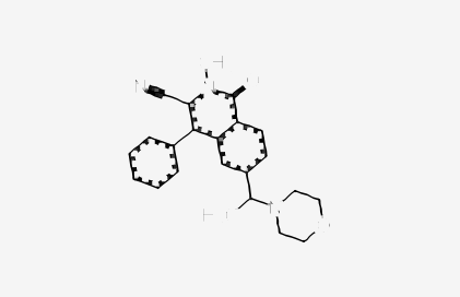 CC(c1ccc2c(=O)n(C)c(C#N)c(-c3ccccc3)c2c1)N1CCOCC1